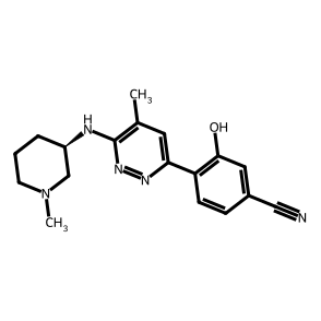 Cc1cc(-c2ccc(C#N)cc2O)nnc1N[C@@H]1CCCN(C)C1